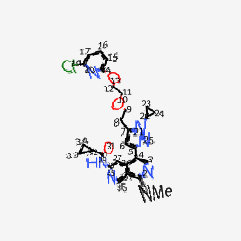 CNc1ncc(-c2cc(CCOCCOc3cccc(Cl)n3)n(C3CC3)n2)c2cc(NC(=O)C3CC3)ncc12